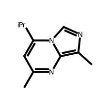 Cc1cc(C(C)C)n2cnc(C)c2n1